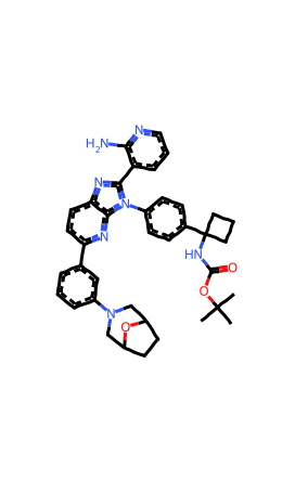 CC(C)(C)OC(=O)NC1(c2ccc(-n3c(-c4cccnc4N)nc4ccc(-c5cccc(N6CC7CCC(C6)O7)c5)nc43)cc2)CCC1